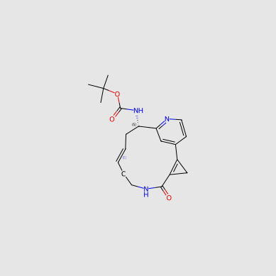 CC(C)(C)OC(=O)N[C@H]1C/C=C/CCNC(=O)C2=C(C2)c2ccnc1c2